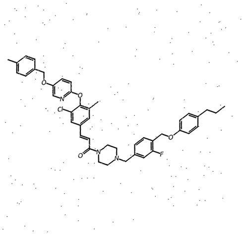 CCCc1ccc(OCc2ccc(CN3CCN(C(=O)/C=C/c4cc(C)c(Oc5ccc(OCc6ccc(C)cc6)cn5)c(Cl)c4)CC3)cc2F)cc1